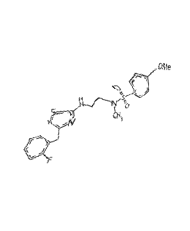 COc1ccc(S(=O)(=O)N(C)CCNc2nc(Cc3ccccc3F)ns2)cc1